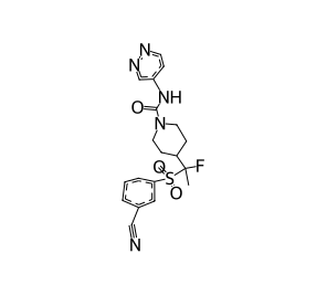 CC(F)(C1CCN(C(=O)Nc2ccnnc2)CC1)S(=O)(=O)c1cccc(C#N)c1